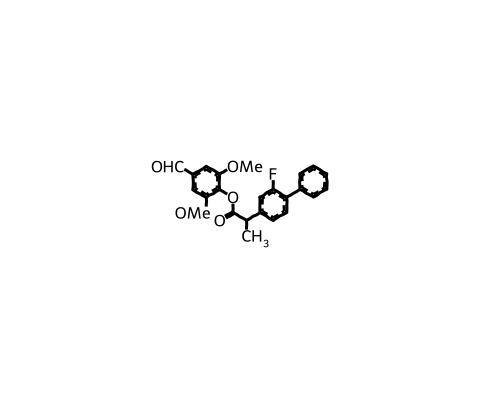 COc1cc(C=O)cc(OC)c1OC(=O)C(C)c1ccc(-c2ccccc2)c(F)c1